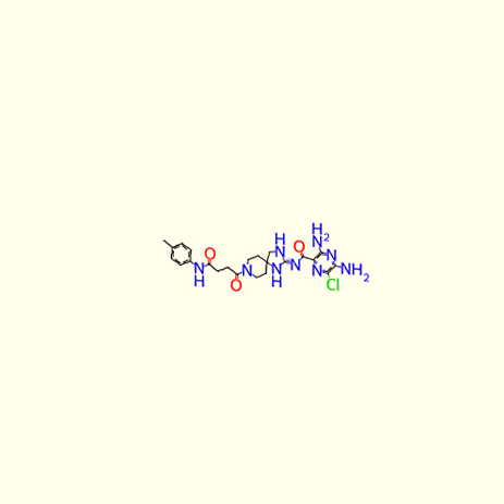 Cc1ccc(NC(=O)CCC(=O)N2CCC3(CC2)CN/C(=N\C(=O)c2nc(Cl)c(N)nc2N)N3)cc1